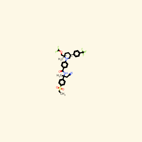 CCS(=O)(=O)c1ccc(C(C)(CC#N)NC(=O)c2ccc(N3C[C@H](c4ccc(C(F)(F)F)cc4)CC[C@]3(C)COC(F)F)cc2)cc1